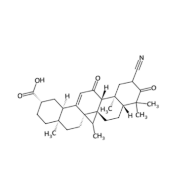 CC1[C@@]23CC[C@H]4C(C)(C)C(=O)C(C#N)C[C@]4(C)[C@H]2C(=O)C=C2[C@@H]4C[C@@H](C(=O)O)CC[C@]4(C)CC[C@@]213